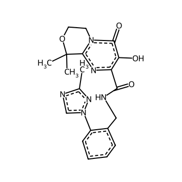 Cc1ncn(-c2ccccc2CNC(=O)c2nc3n(c(=O)c2O)CCOC3(C)C)n1